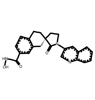 O=C(NO)c1ccc2c(c1)C[C@]1(CC2)CCN(c2cnc3ccccc3c2)C1=O